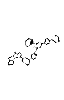 CC1(C)c2ccc(-c3cccc(-c4cccc(-c5cc(-c6ccc(-c7ccccn7)cc6)nc(-c6ccccc6)n5)c4)c3)cc2-c2c1ccc1ccccc21